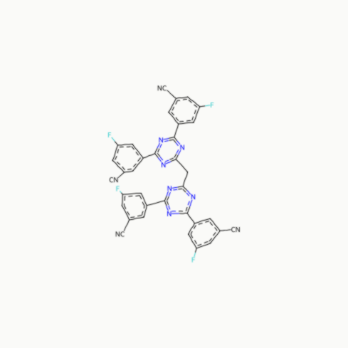 [C-]#[N+]c1cc(F)cc(-c2nc(Cc3nc(-c4cc(F)cc(C#N)c4)nc(-c4cc(F)cc(C#N)c4)n3)nc(-c3cc(F)cc(C#N)c3)n2)c1